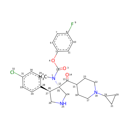 CN(C(=O)Oc1ccc(F)cc1)[C@]1(C(=O)C2CCN(C3CC3)CC2)CNC[C@H]1c1ccc(Cl)cc1